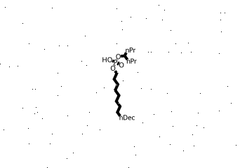 CCCCCCCCCCCCCCCCCCOP(=O)(O)OC(CCC)CCC